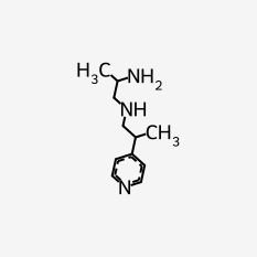 CC(N)CNCC(C)c1ccncc1